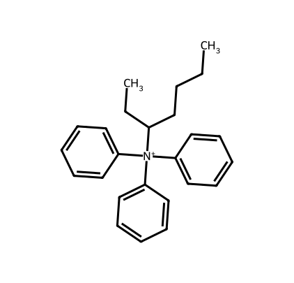 CCCCC(CC)[N+](c1ccccc1)(c1ccccc1)c1ccccc1